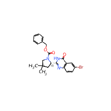 CC1(C)C[C@@H](c2nc3ccc(Br)cc3c(=O)[nH]2)N(C(=O)OCc2ccccc2)C1